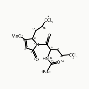 COC1=CC(=O)N(C(=O)C(CCC(Cl)(Cl)Cl)NC(=O)C(C)(C)C)C1CCC(Cl)(Cl)Cl